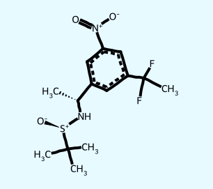 C[C@@H](N[S@+]([O-])C(C)(C)C)c1cc([N+](=O)[O-])cc(C(C)(F)F)c1